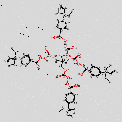 C=C[Si](CC)(CC)c1ccc(C(=O)OOC(=O)OCC(COC(=O)OOC(=O)c2ccc([Si](C=C)(CC)CC)cc2)(COC(=O)OOC(=O)c2ccc([Si](C=C)(CC)CC)cc2)COC(=O)OOC(=O)c2ccc([Si](C=C)(CC)CC)cc2)cc1